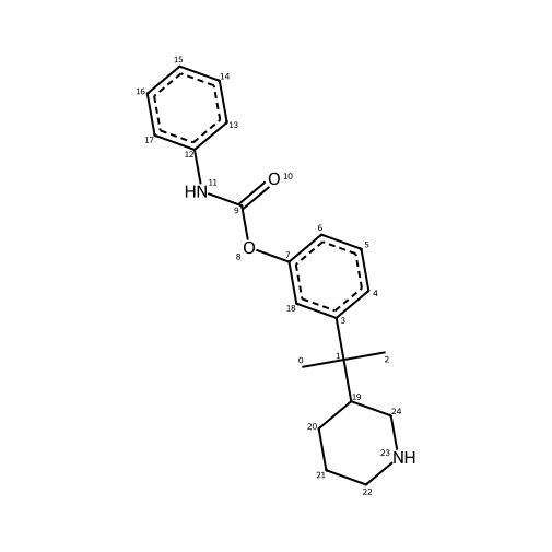 CC(C)(c1cccc(OC(=O)Nc2ccccc2)c1)C1CCCNC1